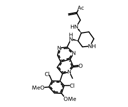 C=C(CN[C@H]1CCNC[C@H]1Nc1ncc2cc(-c3c(Cl)c(OC)cc(OC)c3Cl)n(C)c(=O)c2n1)C(C)=O